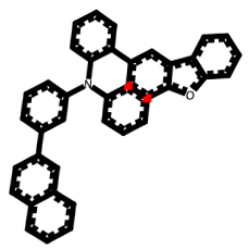 c1ccc(N(c2cccc(-c3ccc4ccccc4c3)c2)c2ccccc2-c2ccc3oc4ccccc4c3c2)cc1